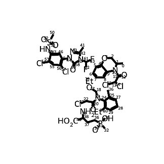 CC1COc2ccccc2N1C(=O)C(Cl)Cl.CCOCN(C(=O)CCl)c1c(C)cccc1CC.CP(=O)(O)CCC(N)C(=O)O.Cc1nn(-c2cc(NS(C)(=O)=O)c(Cl)cc2Cl)c(=O)n1C(F)F